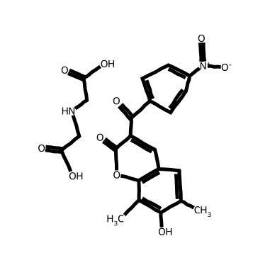 Cc1cc2cc(C(=O)c3ccc([N+](=O)[O-])cc3)c(=O)oc2c(C)c1O.O=C(O)CNCC(=O)O